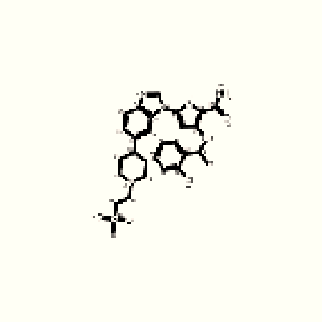 CC(Oc1cc(-n2cnc3ccc(C4CCN(CCS(C)(=O)=O)CC4)cc32)sc1C(N)=O)c1ccccc1Cl